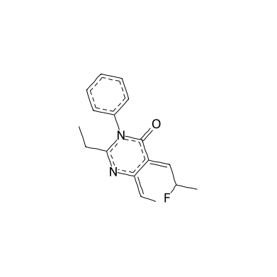 C/C=c1/nc(CC)n(-c2ccccc2)c(=O)/c1=C/C(C)F